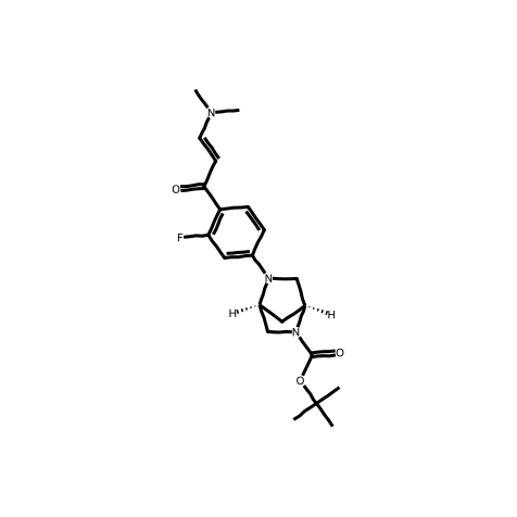 CN(C)/C=C/C(=O)c1ccc(N2C[C@@H]3C[C@H]2CN3C(=O)OC(C)(C)C)cc1F